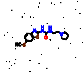 N#CSc1ccc2nc(NC(=O)NCCN3CCCC3)sc2c1